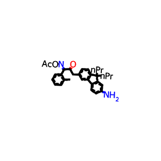 CCCC1(CCC)c2ccc(CC(=O)/C(=N/OC(C)=O)c3ccccc3C)cc2-c2ccc(N)cc21